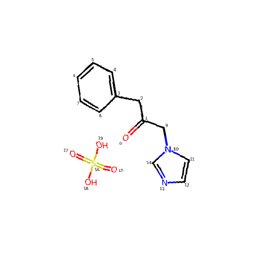 O=C(Cc1ccccc1)Cn1ccnc1.O=S(=O)(O)O